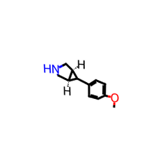 COc1ccc(C2[C@H]3CNC[C@@H]23)cc1